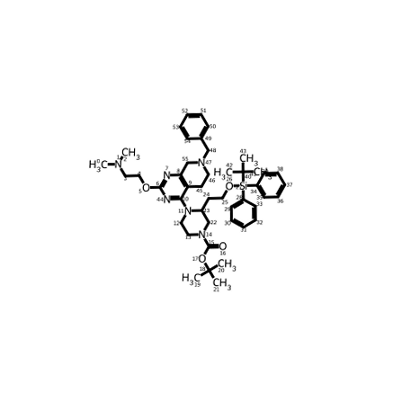 CN(C)CCOc1nc2c(c(N3CCN(C(=O)OC(C)(C)C)CC3CCO[Si](c3ccccc3)(c3ccccc3)C(C)(C)C)n1)CCN(Cc1ccccc1)C2